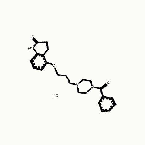 Cl.O=C1CCc2c(cccc2OCCCN2CCN(C(=O)c3ccccc3)CC2)N1